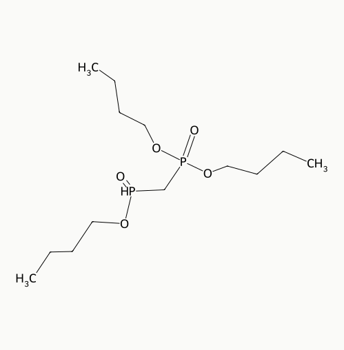 CCCCO[PH](=O)CP(=O)(OCCCC)OCCCC